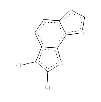 Nc1sc2c(ccc3ccoc32)c1Cl